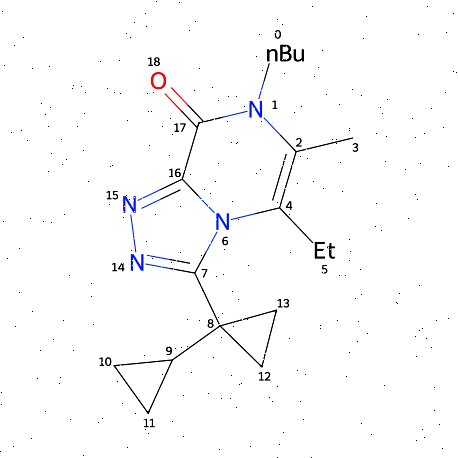 CCCCn1c(C)c(CC)n2c(C3(C4CC4)CC3)nnc2c1=O